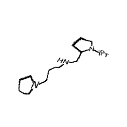 CC(C)N1CCCC1CNCCCN1CCCC1